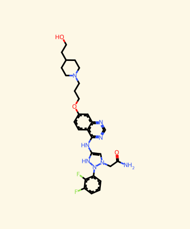 NC(=O)CN1C=C(Nc2ncnc3cc(OCCCN4CCC(CCO)CC4)ccc23)NN1c1cccc(F)c1F